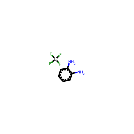 F[B-](F)(F)F.Nc1ccccc1N